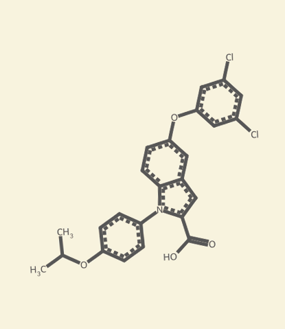 CC(C)Oc1ccc(-n2c(C(=O)O)cc3cc(Oc4cc(Cl)cc(Cl)c4)ccc32)cc1